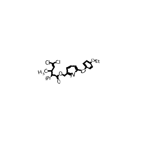 CCOc1ccc(Oc2cccc(COC(=O)C(C(C)C)C(C)C=C(Cl)Cl)n2)cc1